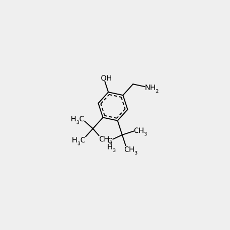 CC(C)(C)c1cc(O)c(CN)cc1C(C)(C)C